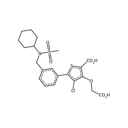 CS(=O)(=O)N(Cc1cccc(-c2sc(C(=O)O)c(OCC(=O)O)c2Cl)c1)C1CCCCC1